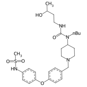 CCCCN(C(=O)NCCC(C)O)C1CCN(Cc2ccc(Oc3ccc(NS(C)(=O)=O)cc3)cc2)CC1